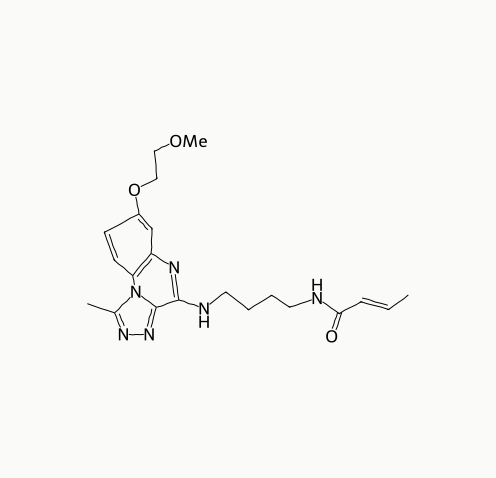 C/C=C/C(=O)NCCCCNc1nc2cc(OCCOC)ccc2n2c(C)nnc12